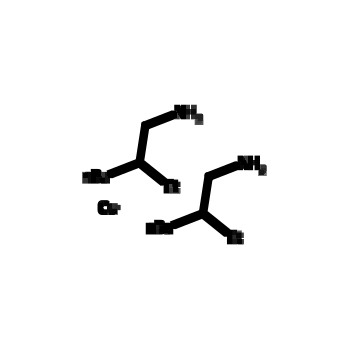 CCCCC(CC)CN.CCCCC(CC)CN.[Cu]